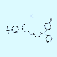 CC(C)(C)c1ccc(C(=O)CCCN2CCC(=C(c3ccccc3)c3ccc(Cl)cc3)CC2)cc1.Cl